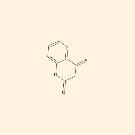 O=C1CC(=S)c2ccccc2O1